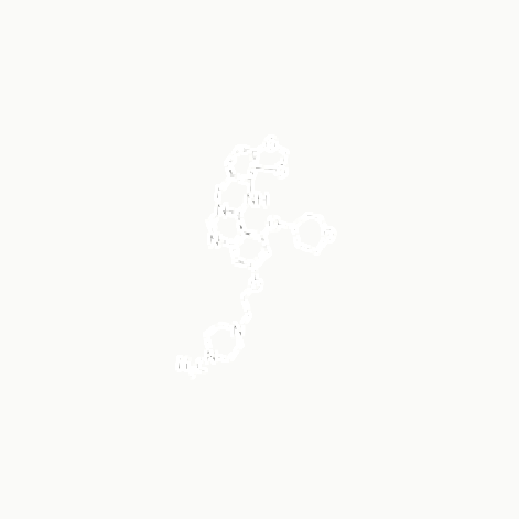 CN1CCN(CCOc2cc(OC3CCOCC3)c3c(Nc4c(I)ccc5c4OCO5)ncnc3c2)CC1